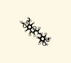 CCOc1c(C)c2c(c(C)c1OCC)C(C)C(C)=C(C(C)CCc1c(C)c(C)c(OC)c(OC)c1C)O2